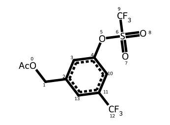 CC(=O)OCc1cc(OS(=O)(=O)C(F)(F)F)cc(C(F)(F)F)c1